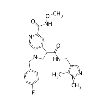 CONC(=O)c1cc2c(cn1)N(Cc1ccc(F)cc1)CC2C(=O)NCc1cnn(C)c1C